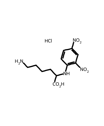 Cl.NCCCCC(Nc1ccc([N+](=O)[O-])cc1[N+](=O)[O-])C(=O)O